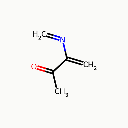 C=NC(=C)C(C)=O